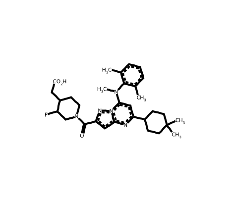 Cc1cccc(C)c1N(C)c1cc(C2CCC(C)(C)CC2)nc2cc(C(=O)N3CCC(CC(=O)O)C(F)C3)nn12